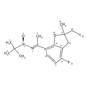 C/C(=N\[S@+]([O-])C(C)(C)C)c1ccc(F)c2c1OC(C)(CI)C2